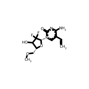 C=Cc1cn([C@@H]2O[C@H](COC)C(O)C2(F)F)c(=O)nc1N